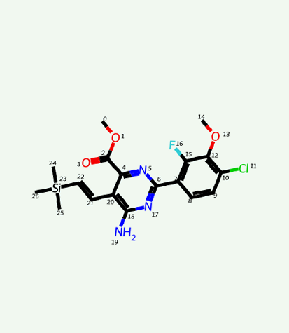 COC(=O)c1nc(-c2ccc(Cl)c(OC)c2F)nc(N)c1C=C[Si](C)(C)C